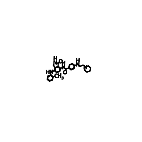 Cc1ccccc1Nc1ccc(NC(=O)c2ccc(NCCN3CCCCC3)cc2)c2c1CNC2=O